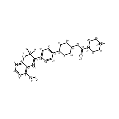 CC1(C)Oc2ncnc(N)c2N=C1c1ccc(C2CCC(CC(=O)N3CCNCC3)CC2)cc1